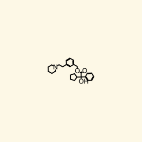 O=C(OCc1cccc(CCN2CCCCC2)c1)C(O)(c1ccccc1)C1CCCC1